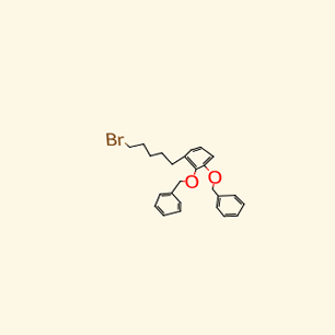 BrCCCCCc1cccc(OCc2ccccc2)c1OCc1ccccc1